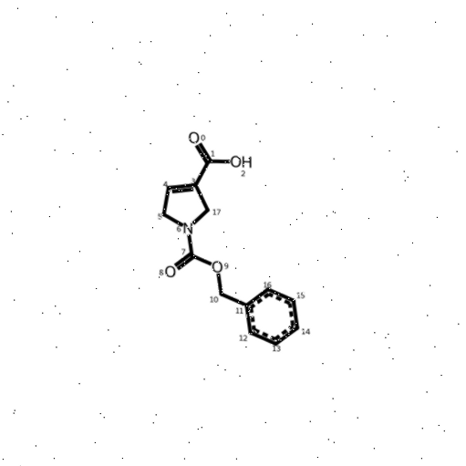 O=C(O)C1=CCN(C(=O)OCc2ccccc2)C1